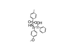 COc1ccc([C@@H](NS(=O)(=O)c2ccc(C)cc2)[C@@H](O)c2ccccc2)cc1